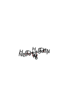 CC1(C)c2cc(C#N)ccc2-c2ccc(-c3ccc4c(c3)C3(c5cc(-c6ccc7c(c6)C(C)(C)c6cc(C#N)ccc6-7)ccc5-4)c4ccccc4-n4c5ccccc5c5cccc3c54)cc21